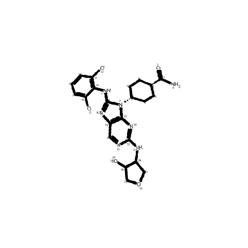 NC(=O)[C@H]1CC[C@H](n2c(Nc3c(Cl)cccc3Cl)nc3cnc(NC4COCC4O)nc32)CC1